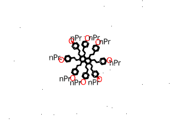 CCCOc1ccc(CCc2c(CCc3ccc(OCCC)cc3)c(CCc3ccc(OCCC)cc3)c3c(CCc4ccc(OCCC)cc4)c(CCc4ccc(OCCC)cc4)c(CCc4ccc(OCCC)cc4)c(CCc4ccc(OCCC)cc4)c3c2CCc2ccc(OCCC)cc2)cc1